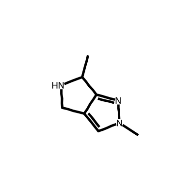 CC1NCc2cn(C)nc21